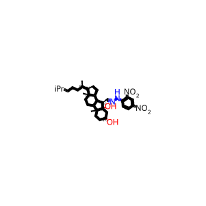 CC(C)CCC[C@@H](C)[C@H]1CCC2C3C(CC[C@@]21C)[C@@]1(C)CC[C@H](O)C[C@@]1(O)[C@@H]3/C=N/Nc1ccc([N+](=O)[O-])cc1[N+](=O)[O-]